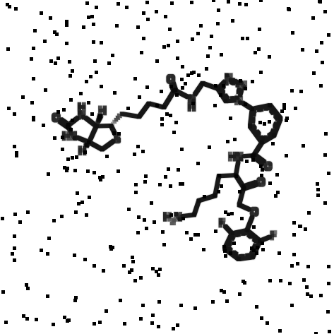 NCCCCC(NC(=O)c1cccc(-n2cc(CNC(=O)CCCC[C@@H]3SC[C@@H]4NC(=O)N[C@@H]43)nn2)c1)C(=O)COc1c(F)cccc1F